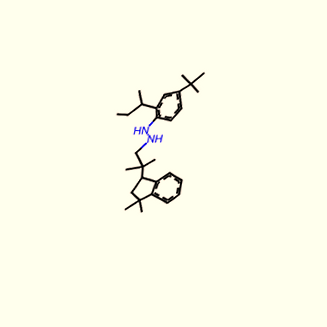 CCC(C)c1cc(C(C)(C)C)ccc1NNCC(C)(C)C1CC(C)(C)c2ccccc21